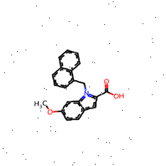 COc1ccc2cc(C(=O)O)n(Cc3cccc4ccccc34)c2c1